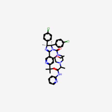 CCOc1cc(C(C)(C)C)ncc1C1=N[C@@](C)(c2ccc(Cl)cc2)[C@@](C)(c2ccc(Cl)cc2)N1C(=O)N1CCN(C(C)C(=O)Nc2ccccn2)CC1